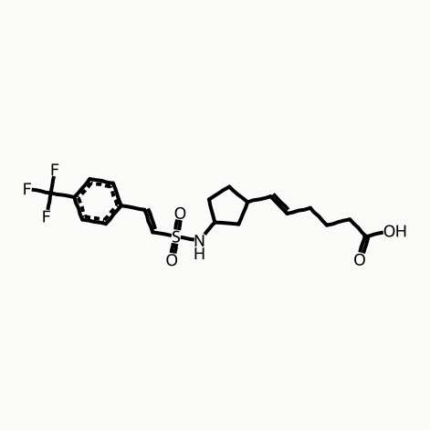 O=C(O)CCC/C=C/C1CCC(NS(=O)(=O)/C=C/c2ccc(C(F)(F)F)cc2)C1